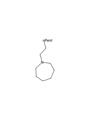 CCCCCCCN1CCCCCC1